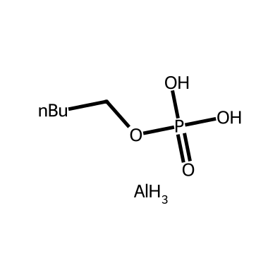 CCCCCOP(=O)(O)O.[AlH3]